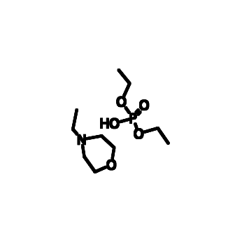 CCN1CCOCC1.CCOP(=O)(O)OCC